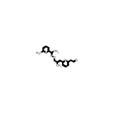 C/C(=C\c1cccc(CC=O)n1)CO/N=C(\C)c1cccc(C)n1